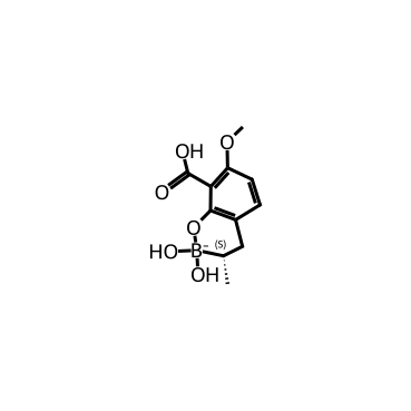 COc1ccc2c(c1C(=O)O)O[B-](O)(O)[C@@H](C)C2